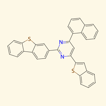 c1ccc2sc(-c3cc(-c4cccc5ccccc45)nc(-c4ccc5c(c4)sc4ccccc45)n3)cc2c1